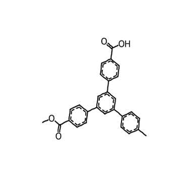 COC(=O)c1ccc(-c2cc(-c3ccc(C)cc3)cc(-c3ccc(C(=O)O)cc3)c2)cc1